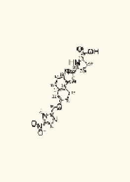 Cn1c([N+](=O)[O-])cnc1COc1ccc2c(ccc3nc(C4NC(C(=O)O)CS4)sc32)c1